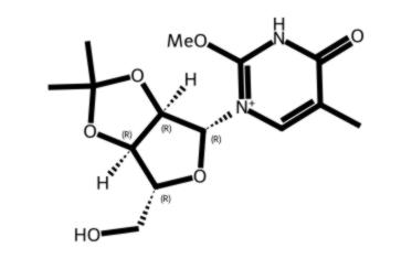 COc1[nH]c(=O)c(C)c[n+]1[C@@H]1O[C@H](CO)[C@H]2OC(C)(C)O[C@H]21